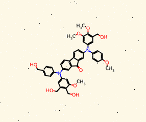 COc1ccc(N(c2cc(CO)c(OC)c(OC)c2)c2ccc3c(c2)C(=O)c2cc(N(c4ccc(CO)cc4)c4cc(CO)c(CO)c(OC)c4)ccc2-3)cc1